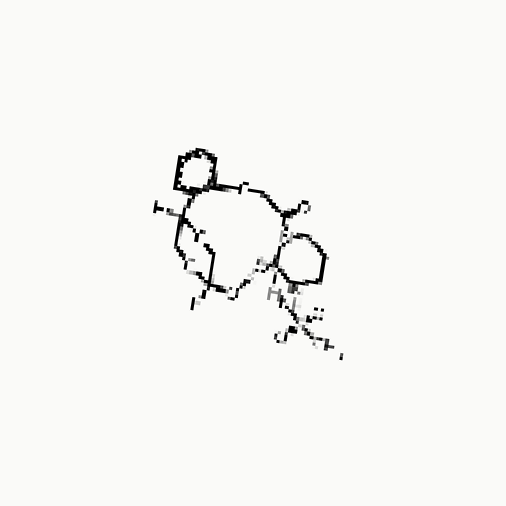 CS(=O)(=O)N[C@H]1CCCN2C(=O)CCc3ccccc3[C@H]3CC[C@H](CC3)OC[C@@H]12